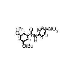 CC(C)COc1cc(OC(C)C)cc(C(=O)Nc2ccc([N+](=O)[O-])cn2)c1